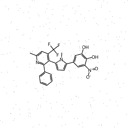 Cc1cc(C(F)(F)F)c(-c2ccc(-c3cc(O)c(O)c([N+](=O)[O-])c3)n2C)c(-c2ccccc2)n1